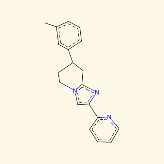 Cc1cccc(C2CCn3cc(-c4ccccn4)nc3C2)c1